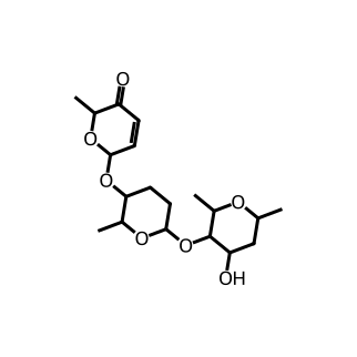 CC1CC(O)C(OC2CCC(OC3C=CC(=O)C(C)O3)C(C)O2)C(C)O1